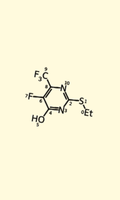 CCSc1nc(O)c(F)c(C(F)(F)F)n1